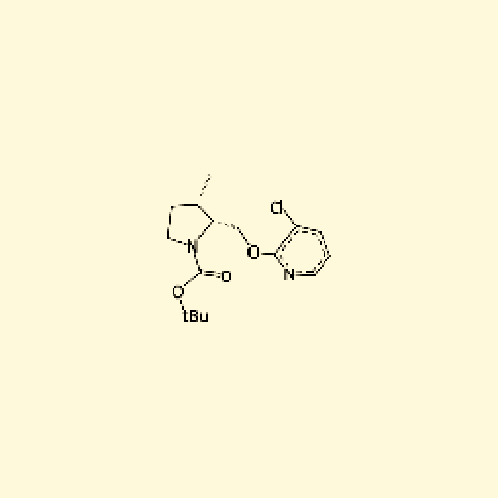 C[C@H]1CCN(C(=O)OC(C)(C)C)[C@H]1COc1ncccc1Cl